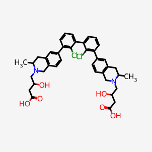 CC1Cc2cc(-c3cccc(-c4cccc(-c5ccc6c(c5)CC(C)N(CC(O)CC(=O)O)C6)c4Cl)c3Cl)ccc2CN1CC(O)CC(=O)O